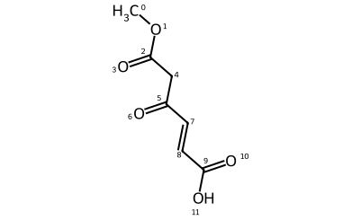 COC(=O)CC(=O)C=CC(=O)O